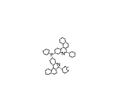 c1ccc(-c2nc3cc(P(c4ccccc4)c4ccc5c(c4)nc(-c4ccccc4)c4ccc6ccccc6c45)ccc3c3c2ccc2ccccc23)cc1